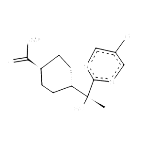 COC(=O)[C@H]1CC[C@H]([C@@](C)(O)c2ncc(Cl)cn2)CC1